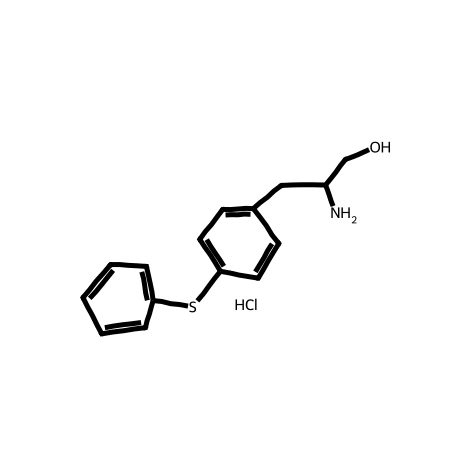 Cl.NC(CO)Cc1ccc(Sc2ccccc2)cc1